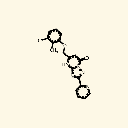 Cc1c(Cl)cccc1OCc1cc(=O)n2nc(-c3ccccn3)nc2[nH]1